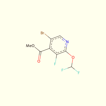 COC(=O)c1c(Br)cnc(OC(F)F)c1F